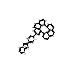 c1cc2ccc3cccc4c5cc(-c6cnc(-c7cn8cccnc8n7)cn6)cc6ccc7cccc(c(c1)c2c34)c7c65